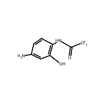 Nc1ccc(NC(=O)C(F)(F)F)c(O)c1